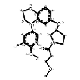 COCCC(=O)N1CC[C@H](Oc2ccc3c(c2)N(c2cnc(OC)c(F)c2)CCO3)C1